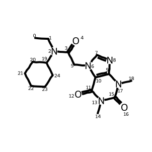 CCN(C(=O)Cn1cnc2c1c(=O)n(C)c(=O)n2C)C1CCCCC1